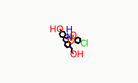 O=S(=O)(NCC1(Cc2ccc(CCO)cc2)CCC(O)CC1)c1ccc(Cl)cc1